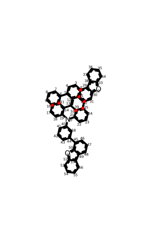 C1=c2cccc(-c3ccccc3)c2=C(c2ccccc2N(c2cccc(-c3ccc4c(c3)oc3ccccc34)c2)c2cccc(-c3cccc4c3oc3ccccc34)c2)CC1